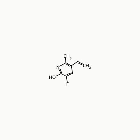 C=Cc1cc(F)c(O)nc1C